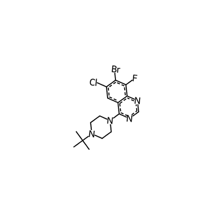 CC(C)(C)N1CCN(c2ncnc3c(F)c(Br)c(Cl)cc23)CC1